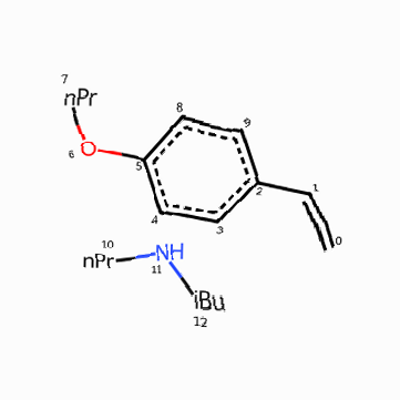 C=Cc1ccc(OCCC)cc1.CCCNC(C)CC